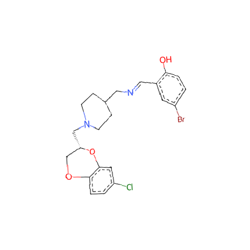 Oc1ccc(Br)cc1C=NCC1CCN(C[C@H]2COc3ccc(Cl)cc3O2)CC1